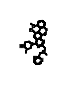 COc1cccc(F)c1-c1c(Cl)cc2c(N3CCNC(C)C3)nc(CN(C)Cc3ncccn3)nc2c1F